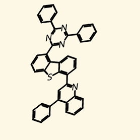 c1ccc(-c2nc(-c3ccccc3)nc(-c3cccc4sc5c(-c6cc(-c7ccccc7)c7ccccc7n6)cccc5c34)n2)cc1